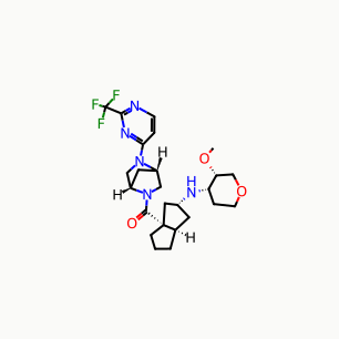 CO[C@@H]1COCC[C@@H]1N[C@@H]1C[C@H]2CCC[C@@]2(C(=O)N2C[C@@H]3C[C@H]2CN3c2ccnc(C(F)(F)F)n2)C1